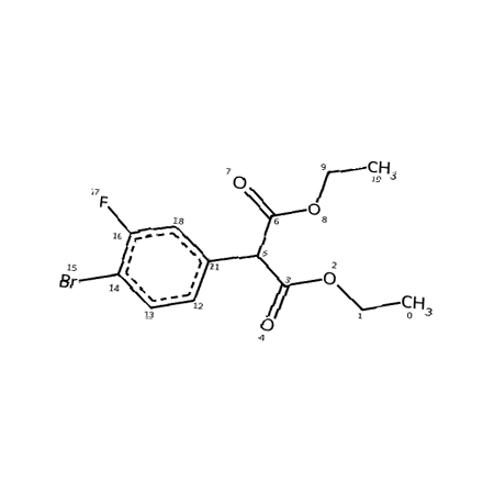 CCOC(=O)C(C(=O)OCC)c1ccc(Br)c(F)c1